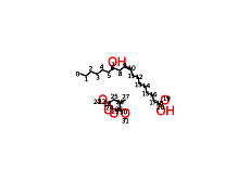 CCCCCC[C@@H](O)C/C=C\CCCCCCCC(=O)O.COC(=O)CC(C)C(=O)OC